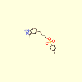 Cc1ccc(S(=O)(=O)OCCCCc2ccc3[nH]nc(C)c3c2)cc1